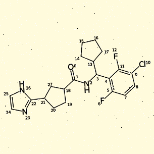 O=C(NC(c1c(F)ccc(Cl)c1F)C1CCCC1)C1CCC(c2ncc[nH]2)C1